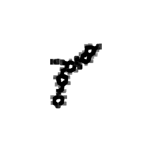 Cl.O=C1CN(S(=O)(=O)c2ccc3cc(Cl)ccc3c2)CCN1Cc1ccc(C=NN2CCOCC2)cc1